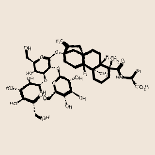 C=C1C[C@@]23CC[C@H]4[C@@](C)(CCC[C@@]4(C)C(=O)N[C@H](C(=O)O)C(C)C)[C@@H]2CC[C@]1(O[C@@H]1O[C@H](CO)[C@@H](O)[C@H](O[C@@H]2O[C@H](CO)[C@@H](O)[C@H](O)[C@H]2O)[C@H]1O[C@@H]1O[C@H](CO)[C@@H](O)[C@H](O)[C@H]1O)C3